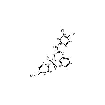 COc1ccc(S(=O)(=O)N(CC(=O)Nc2ccc(F)c(Cl)c2)c2ccccc2)cc1